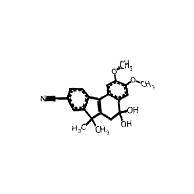 COc1cc2c(cc1OC)C(O)(O)CC1=C2c2ccc(C#N)cc2C1(C)C